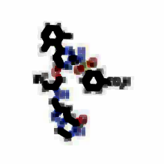 Cc1cccc(C)c1-c1cc(OCC(CC(C)C)NCc2cc3n(n2)CCNC3=O)nc(NS(=O)(=O)c2cccc(C(=O)O)c2)n1